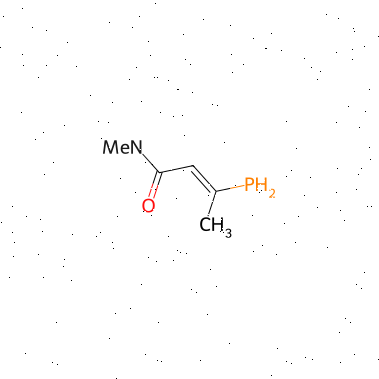 CNC(=O)/C=C(\C)P